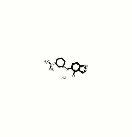 CCc1c(O[C@@H]2CCC[C@@H](N(C)C)C2)ccc2[nH]ncc12.Cl